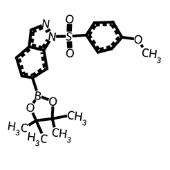 COc1ccc(S(=O)(=O)n2ncc3ccc(B4OC(C)(C)C(C)(C)O4)cc32)cc1